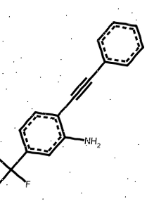 Nc1cc(C(F)(F)F)ccc1C#Cc1ccccc1